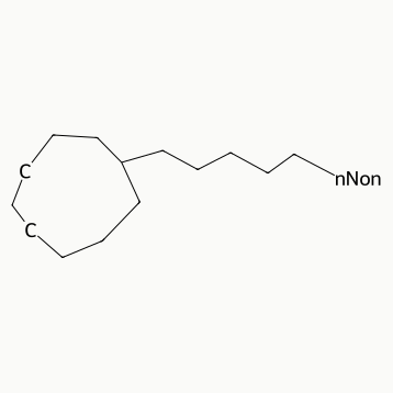 CCCCCCCCCCCCCCC1CCCCCCCC1